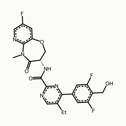 CCc1cnc(C(=O)N[C@H]2COc3cc(F)cnc3N(C)C2=O)nc1-c1cc(F)c(CO)c(F)c1